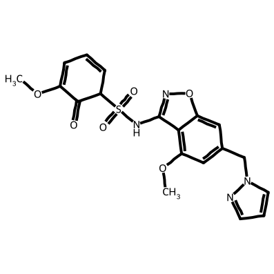 COC1=CC=CC(S(=O)(=O)Nc2noc3cc(Cn4cccn4)cc(OC)c23)C1=O